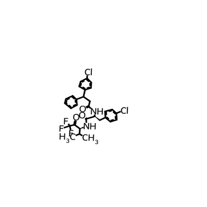 CC(C)[C@H](NC(=O)[C@H](Cc1ccc(Cl)cc1)NC(=O)CC(c1ccccc1)c1ccc(Cl)cc1)C(=O)C(F)(F)F